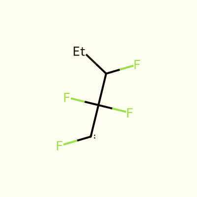 CCC(F)C(F)(F)[C]F